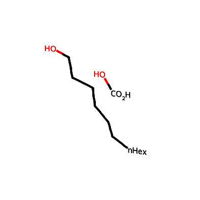 CCCCCCCCCCCCO.O=C(O)O